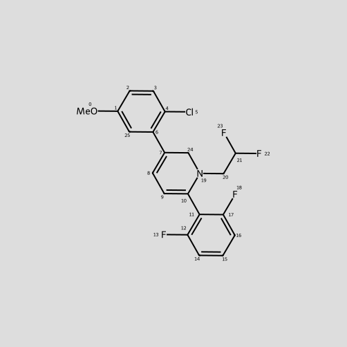 COc1ccc(Cl)c(C2=CC=C(c3c(F)cccc3F)N(CC(F)F)C2)c1